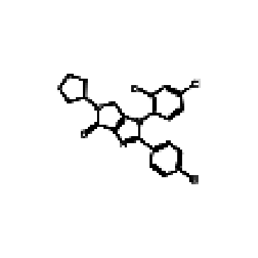 O=C1c2nc(-c3ccc(Cl)cc3)n(-c3ccc(Cl)cc3Cl)c2CN1C1CCCC1